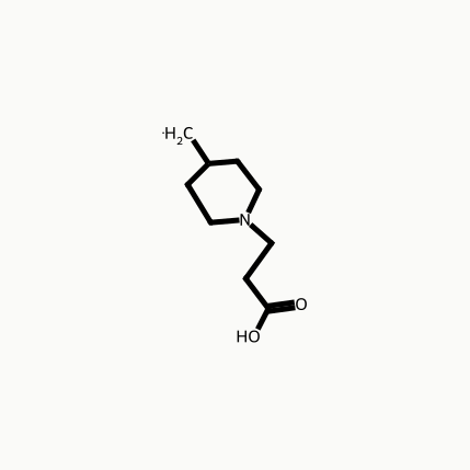 [CH2]C1CCN(CCC(=O)O)CC1